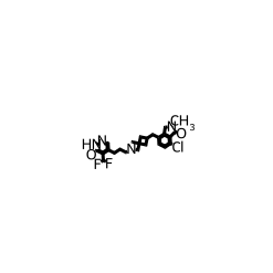 CN1Cc2c(CC3CC4(C3)CN(CCCc3cn[nH]c(=O)c3C(F)F)C4)ccc(Cl)c2C1=O